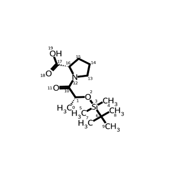 C[C@@H](O[Si](C)(C)C(C)(C)C)C(=O)N1CCC[C@H]1C(=O)O